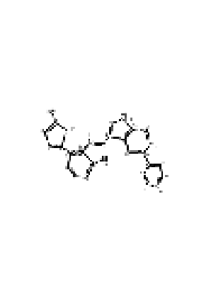 CC(=O)c1ccc(-c2cccc3[nH]c(-c4n[nH]c5cnc(-c6ccncc6)cc45)nc23)s1